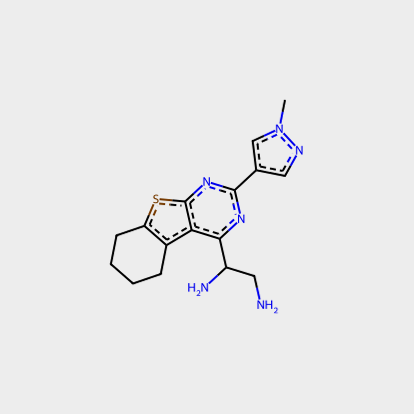 Cn1cc(-c2nc(C(N)CN)c3c4c(sc3n2)CCCC4)cn1